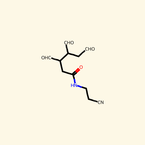 N#CCCNC(=O)CC(C=O)C(C=O)CC=O